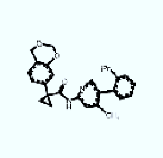 Cc1cc(NC(=O)C2(c3ccc4c(c3)OCOC4)CC2)ncc1-c1ccccc1C(C)C